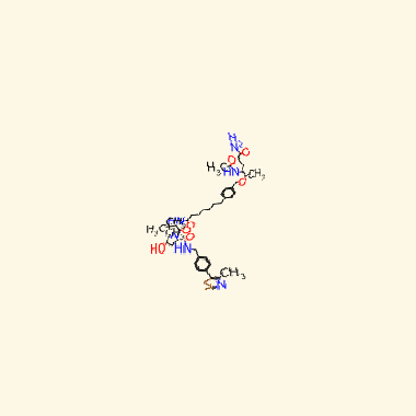 CC(=O)N[C@@H](CCC(N)=O)[C@@H](C)OCc1ccc(CCCCCCC(=O)N[C@H](C(=O)N2C[C@H](O)C[C@H]2C(=O)NCc2ccc(-c3scnc3C)cc2)C(C)(C)C)cc1